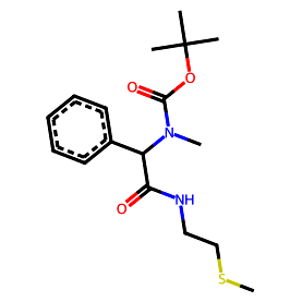 CSCCNC(=O)C(c1ccccc1)N(C)C(=O)OC(C)(C)C